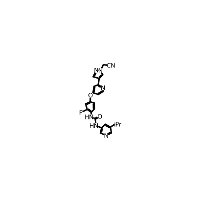 CC(C)c1cncc(NC(=O)Nc2ccc(Oc3ccnc(-c4cnn(CC#N)c4)c3)cc2F)c1